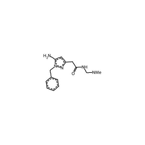 CNCNC(=O)Cc1cc(N)n(Cc2ccccc2)n1